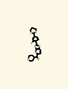 O=C(c1ccc2nc(-c3ccc(C4OCCCO4)cc3F)sc2n1)C1CCOCC1